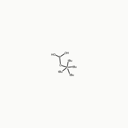 CC(C)(C)P(OB(O)O)(C(C)(C)C)(C(C)(C)C)C(C)(C)C